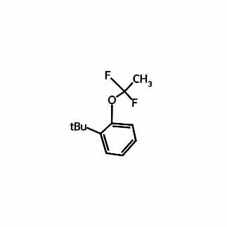 CC(F)(F)Oc1ccccc1C(C)(C)C